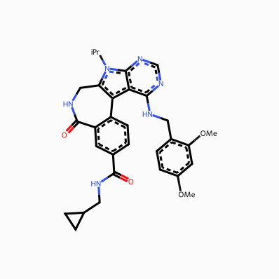 COc1ccc(CNc2ncnc3c2c2c(n3C(C)C)CNC(=O)c3cc(C(=O)NCC4CC4)ccc3-2)c(OC)c1